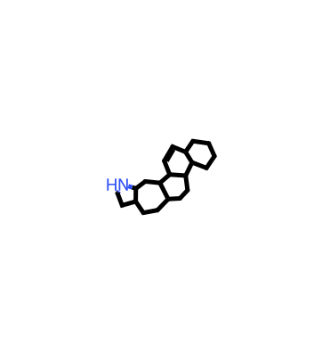 C1=CC2C3CC4NCCC4CCC3CCC2C2CCCCC12